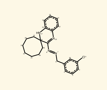 Clc1cccc(CN=NC2=Nc3ccccc3NC23CCCCCCC3)c1